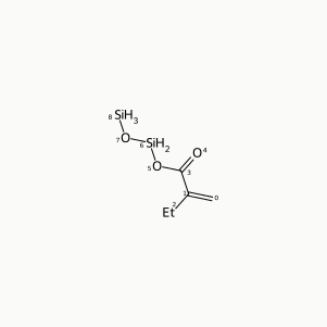 C=C(CC)C(=O)O[SiH2]O[SiH3]